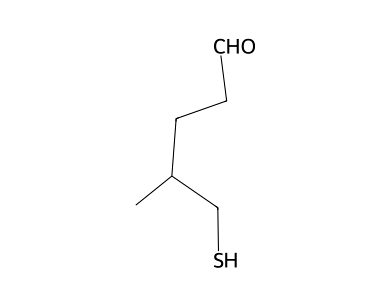 CC(CS)CCC=O